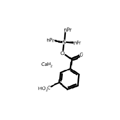 CCCS(CCC)(CCC)OC(=O)c1cccc(C(=O)O)c1.[CaH2]